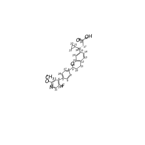 COc1cc(-c2ccc(C3CCc4ccc([C@@H](CC(=O)O)C5CC5)cc4O3)cc2)c(F)cn1